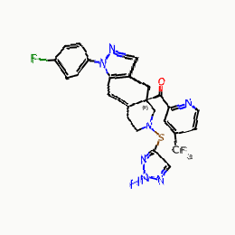 O=C(c1cc(C(F)(F)F)ccn1)[C@]12Cc3cnn(-c4ccc(F)cc4)c3C=C1CCN(Sc1cn[nH]n1)C2